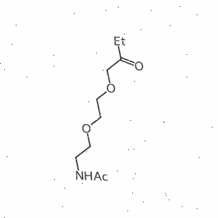 CCC(=O)COCCOCCNC(C)=O